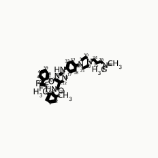 Cc1cccc(C)c1NC(=O)c1cnc(Nc2ccc(N3CCN(CCCN(C)C)CC3)cc2)nc1Oc1ccccc1C(F)(F)F